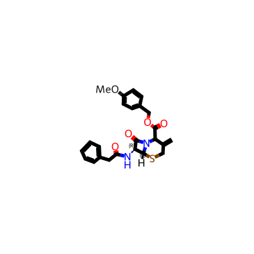 C=C1CS[C@@H]2[C@H](NC(=O)Cc3ccccc3)C(=O)N2C1C(=O)OCc1ccc(OC)cc1